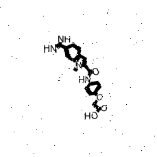 Cn1c(C(=O)Nc2ccc(OCC(=O)O)cc2)cc2ccc(C(=N)N)cc21